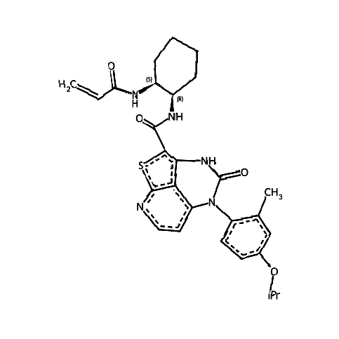 C=CC(=O)N[C@H]1CCCC[C@H]1NC(=O)c1sc2nccc3c2c1NC(=O)N3c1ccc(OC(C)C)cc1C